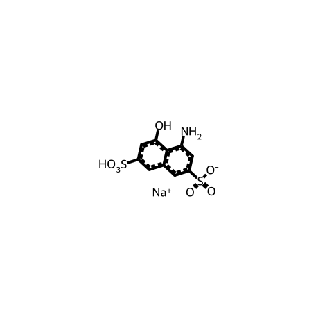 Nc1cc(S(=O)(=O)[O-])cc2cc(S(=O)(=O)O)cc(O)c12.[Na+]